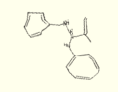 C=C(C)[SiH](Nc1ccccc1)Nc1ccccc1